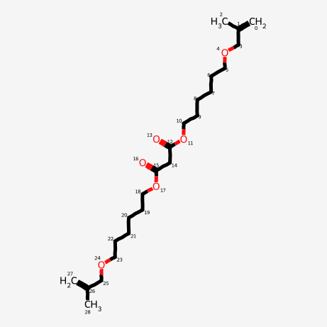 C=C(C)COCCCCCCOC(=O)CC(=O)OCCCCCCOCC(=C)C